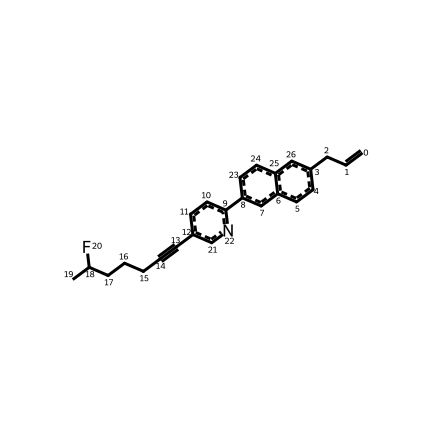 C=CCc1ccc2cc(-c3ccc(C#CCCCC(C)F)cn3)ccc2c1